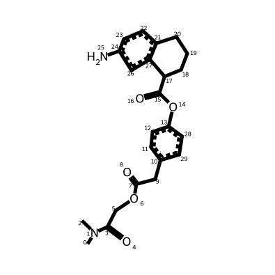 CN(C)C(=O)COC(=O)Cc1ccc(OC(=O)C2CCCc3ccc(N)cc32)cc1